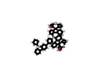 c1ccc(-n2c3ccccc3c3ccc(-c4ccc(N(c5cccc6c5-c5ccccc5C65c6ccccc6Oc6ccccc65)c5cccc6c5-c5ccccc5C65c6ccccc6Sc6ccccc65)cc4)cc32)cc1